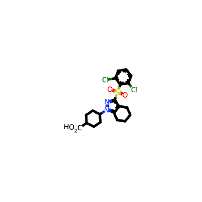 O=C(O)C1CCC(n2nc(S(=O)(=O)c3c(Cl)cccc3Cl)c3c2CCCC3)CC1